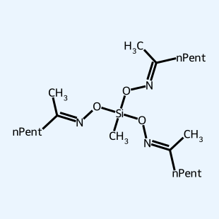 CCCCCC(C)=NO[Si](C)(ON=C(C)CCCCC)ON=C(C)CCCCC